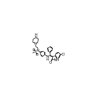 CS(=O)(=O)N(CCN1CCNCC1)c1ccc(N/C(=C2\C(=O)Nc3cc(Cl)ccc32)c2ccccc2)cc1